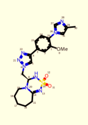 COc1cc(-c2cn(C[C@H]3NS(=O)(=O)N=C4CCCCCN43)nn2)ccc1-n1cnc(C)c1